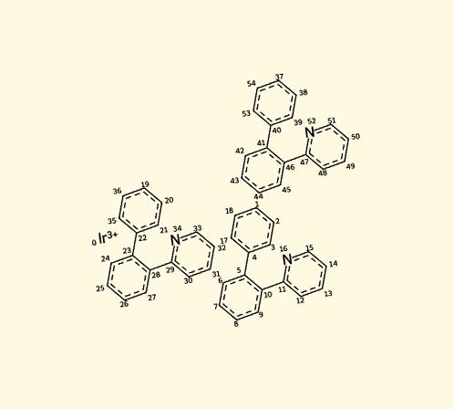 [Ir+3].c1ccc(-c2ccccc2-c2ccccn2)cc1.c1ccc(-c2ccccc2-c2ccccn2)cc1.c1ccc(-c2ccccc2-c2ccccn2)cc1